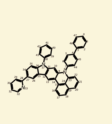 c1ccc(-c2ccc(N3c4cc5c(cc4-c4cccc6cccc3c46)c3cc(-c4ccccn4)ccc3n5-c3ccccc3)cc2)cc1